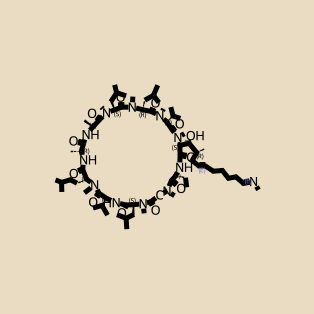 CC[C@H]1NC(=O)[C@H]([C@H](O)[C@H](C)C/C=C/CCCC/C=N/C)N(C)C(=O)[C@@H](C(C)C)N(C)C(=O)[C@@H](CC(C)C)N(C)C(=O)[C@H](CC(C)C)N(C)C(=O)[C@H](C)NC(=O)[C@@H](C)NC(=O)[C@@H](CCC(C)C)N(C)C(=O)[C@@H](C(C)C)NC(=O)[C@H](CC(C)C)N(C)C(=O)CN(C)C1=O